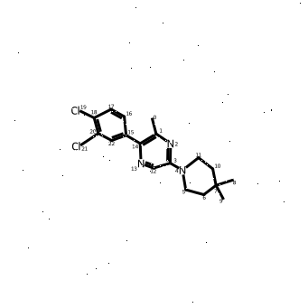 Cc1nc(N2CCC(C)(C)CC2)cnc1-c1ccc(Cl)c(Cl)c1